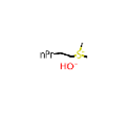 CCCCC[S+](C)C.[OH-]